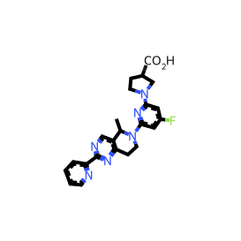 CC1c2cnc(-c3ccccn3)nc2CCN1c1cc(F)cc(N2CCC(C(=O)O)C2)n1